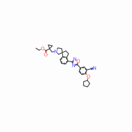 CCOC(=O)C1(CN2CCC3(CCc4c(-c5noc(-c6ccc(OC7CCCC7)c(C#N)c6)n5)cccc43)C2)CC1